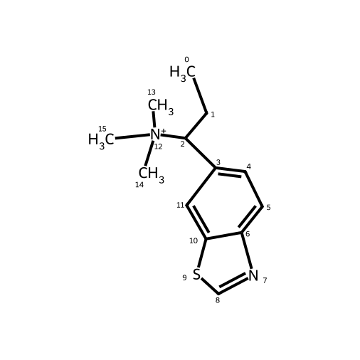 CCC(c1ccc2ncsc2c1)[N+](C)(C)C